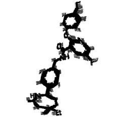 CCC1(C)CC=C(c2ccc(CNC(=O)c3cc(F)cnc3Oc3ccc(F)cc3)cc2)NC(C)C1